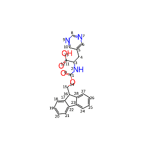 O=C(NC(Cc1cncnc1)C(=O)O)OCC1c2ccccc2-c2ccccc21